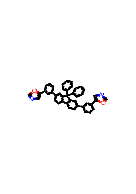 c1ccc(C2(c3ccccc3)c3cc(-c4cccc(-c5cnco5)c4)ccc3-c3ccc(-c4cccc(-c5cnco5)c4)cc32)cc1